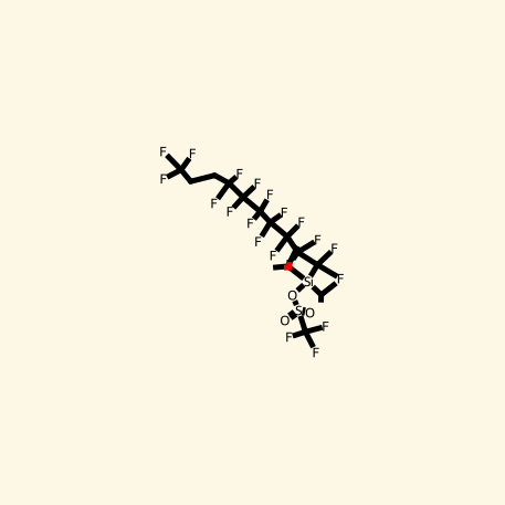 CC(C)[Si](OS(=O)(=O)C(F)(F)F)(C(C)C)C(F)(F)C(F)(F)C(F)(F)C(F)(F)C(F)(F)C(F)(F)C(F)(F)CCC(F)(F)F